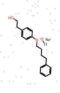 CC[O-].OCCc1ccc(OCCCCc2ccccc2)cc1.[Na+]